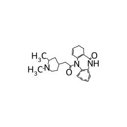 CC1CC(CC(=O)N2C3=C(CCC=C3)C(=O)Nc3ccccc32)CCN1C